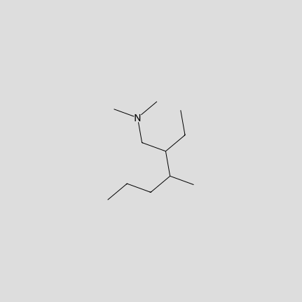 CCCC(C)C(CC)CN(C)C